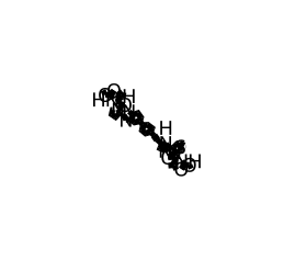 COC(=O)N[C@H](C(=O)N1CS(C)(C)C[C@H]1c1ncc(C#Cc2ccc(-c3ccc4[nH]c([C@@H]5CCCN5C(=O)[C@@H](NC(=O)OC)C(C)C)nc4c3)cc2)[nH]1)C(C)C